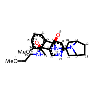 COCCNC(=O)c1ccc(N2C3CCC2CC(NC(=O)c2cccc(OC)c2C)C3)nc1